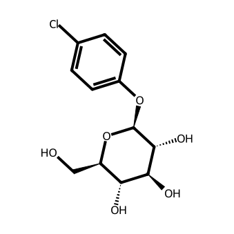 OC[C@H]1O[C@@H](Oc2ccc(Cl)cc2)[C@H](O)[C@@H](O)[C@@H]1O